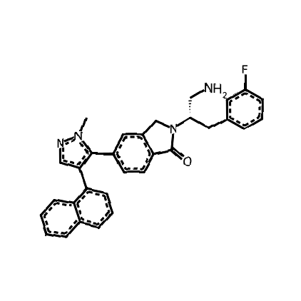 Cn1ncc(-c2cccc3ccccc23)c1-c1ccc2c(c1)CN([C@H](CN)Cc1cccc(F)c1)C2=O